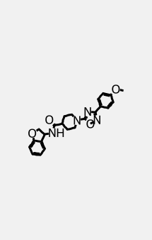 COc1ccc(-c2noc(N3CCC(C(=O)NC4COc5ccccc54)CC3)n2)cc1